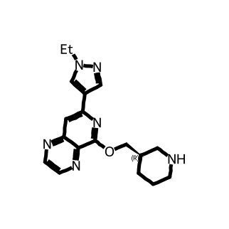 CCn1cc(-c2cc3nccnc3c(OC[C@@H]3CCCNC3)n2)cn1